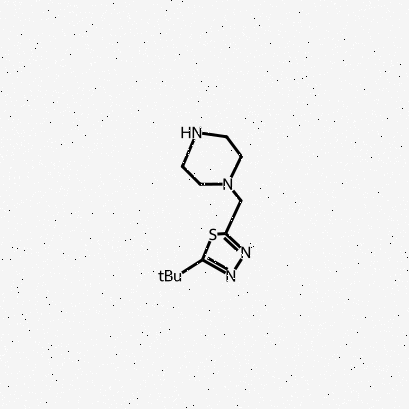 CC(C)(C)c1nnc(CN2CCNCC2)s1